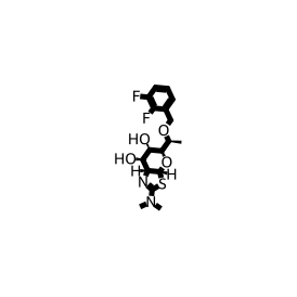 C[C@H](OCc1cccc(F)c1F)[C@H]1O[C@@H]2SC(N(C)C)=N[C@@H]2[C@@H](O)[C@@H]1O